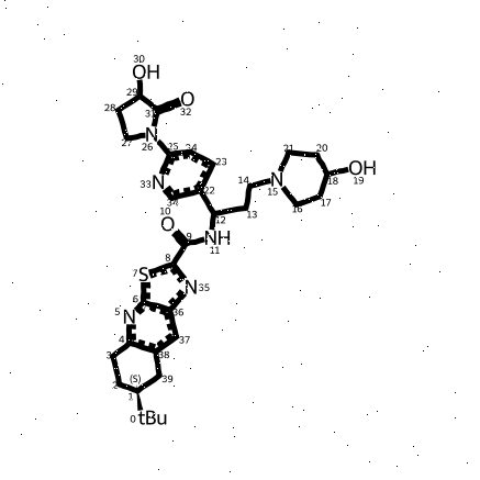 CC(C)(C)[C@H]1CCc2nc3sc(C(=O)NC(CCN4CCC(O)CC4)c4ccc(N5CCC(O)C5=O)nc4)nc3cc2C1